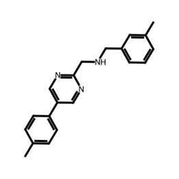 Cc1ccc(-c2cnc(CNCc3cccc(C)c3)nc2)cc1